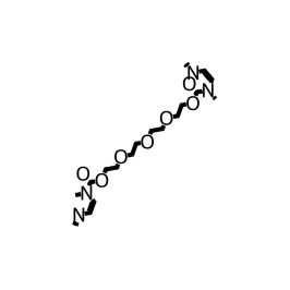 C=N/C=C\N(C)C(=O)OCCOCCOCCOCCOC(=O)N(C)/C=C\N=C